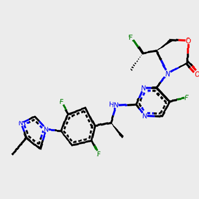 Cc1cn(-c2cc(F)c([C@H](C)Nc3ncc(F)c(N4C(=O)OC[C@@H]4[C@H](C)F)n3)cc2F)cn1